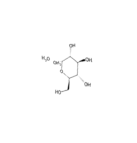 O.O.OC[C@H]1O[CH][C@H](O)[C@@H](O)[C@@H]1O